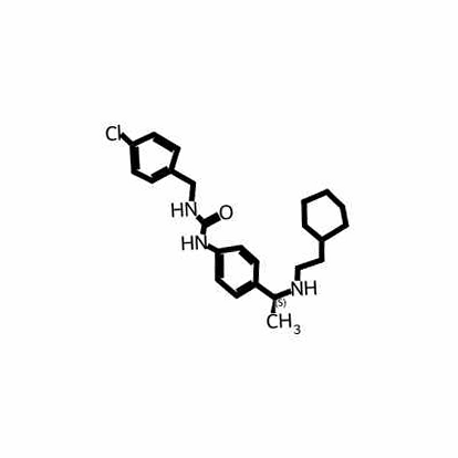 C[C@H](NCCC1CCCCC1)c1ccc(NC(=O)NCc2ccc(Cl)cc2)cc1